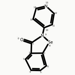 O=c1c2ccccc2[se]n1-c1ccncc1